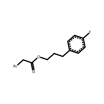 CC(=O)CC(=O)OCCCc1ccc(F)cc1